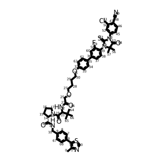 Cc1ncsc1-c1ccc(CNC(=O)[C@@H]2CCCN2C(=O)C(NC(=O)COCCCCOc2ccc(-c3ccc(N4C(=S)N(c5ccc(C#N)c(Cl)c5)C(=O)C4(C)C)c(F)c3)cc2)C(C)(C)C)cc1